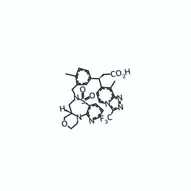 Cc1ccc([C@@H](CC(=O)O)c2ccn3c(C(F)(F)F)nnc3c2C)cc1CN1C[C@H]2COCCN2c2ncccc2S1(=O)=O